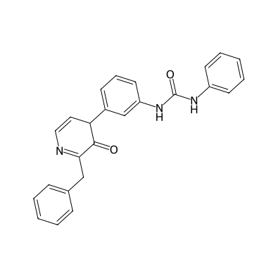 O=C(Nc1ccccc1)Nc1cccc(C2C=CN=C(Cc3ccccc3)C2=O)c1